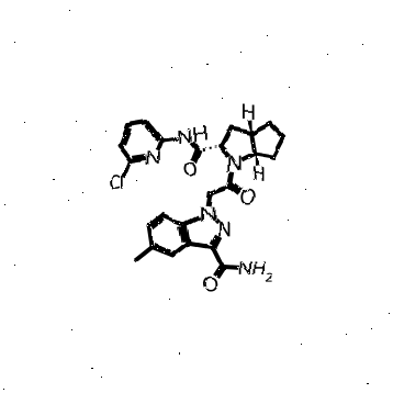 Cc1ccc2c(c1)c(C(N)=O)nn2CC(=O)N1[C@H](C(=O)Nc2cccc(Cl)n2)C[C@@H]2CCC[C@@H]21